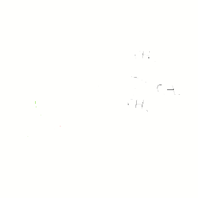 CC(C)(C)Cc1ccc(OC(F)F)cc1